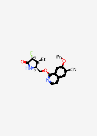 CC[C@@H]1[C@H](F)C(=O)N[C@@H]1COc1nccc2cc(C#N)c(OC(C)C)cc12